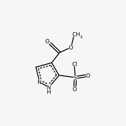 COC(=O)c1cn[nH]c1S(=O)(=O)Cl